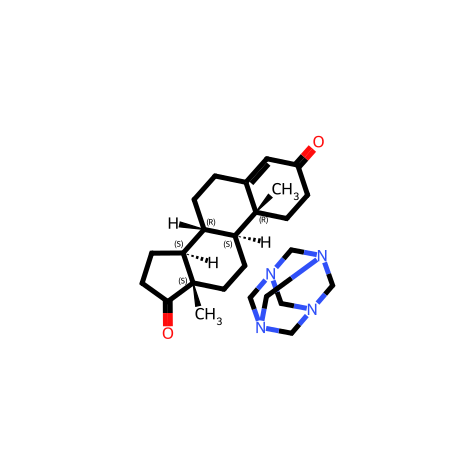 C1N2CN3CN1CN(C2)C3.C[C@]12CCC(=O)C=C1CC[C@@H]1[C@@H]2CC[C@]2(C)C(=O)CC[C@@H]12